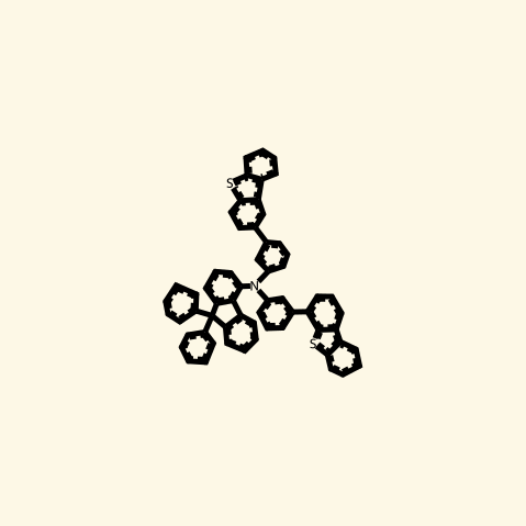 c1ccc(C2(c3ccccc3)c3ccccc3-c3c(N(c4cccc(-c5ccc6sc7ccccc7c6c5)c4)c4cccc(-c5cccc6c5sc5ccccc56)c4)cccc32)cc1